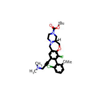 COc1cccc(Cl)c1-c1c(C#CCN(C)C)cc2c(c1F)OC[C@H]1CN(C(=O)OC(C)(C)C)CCN1C2